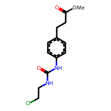 COC(=O)CCc1ccc(NC(=O)NCCCl)cc1